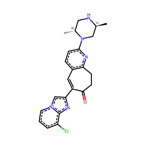 C[C@@H]1CN[C@@H](C)CN1c1ccc2c(n1)CCC(=O)C(c1cn3cccc(Cl)c3n1)=C2